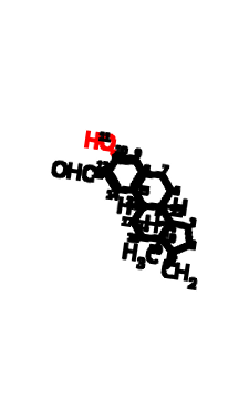 C=C1CC[C@H]2[C@@H]3CCc4cc(O)c(C=O)cc4[C@H]3CC[C@]12C